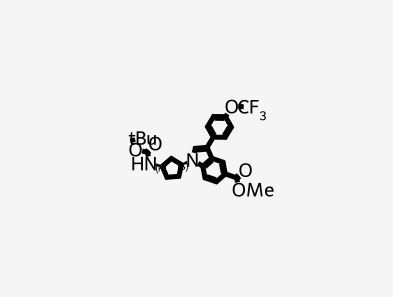 COC(=O)c1ccc2c(c1)c(-c1ccc(OC(F)(F)F)cc1)cn2[C@H]1CC[C@@H](NC(=O)OC(C)(C)C)C1